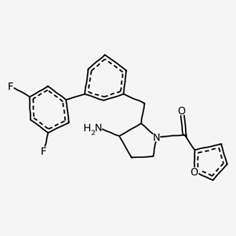 NC1CCN(C(=O)c2ccco2)C1Cc1cccc(-c2cc(F)cc(F)c2)c1